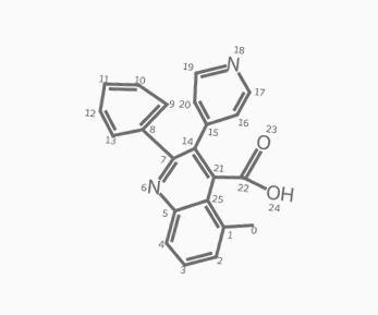 Cc1cccc2nc(-c3ccccc3)c(-c3ccncc3)c(C(=O)O)c12